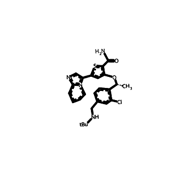 C[C@@H](Oc1cc(-c2cnc3ccccn23)sc1C(N)=O)c1ccc(CNC(C)(C)C)cc1Cl